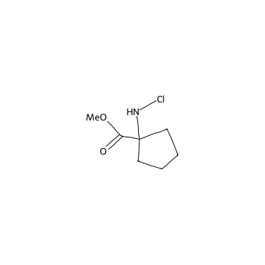 COC(=O)C1(NCl)CCCC1